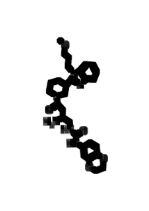 COCCCn1c(C2CCCN(C(=O)CC(N)CNC(=O)Nc3ccc4c(c3)OCCO4)C2)nc2ccccc21